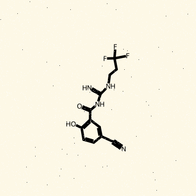 N#Cc1ccc(O)c(C(=O)NC(=N)NCCC(F)(F)F)c1